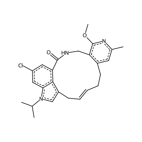 COc1nc(C)cc2c1CNC(=O)c1cc(Cl)cc3c1c(cn3C(C)C)C/C=C/CC2